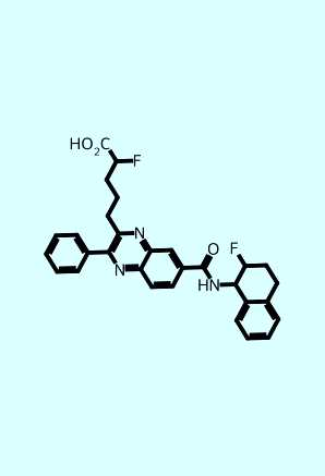 O=C(NC1c2ccccc2CCC1F)c1ccc2nc(-c3ccccc3)c(CCCC(F)C(=O)O)nc2c1